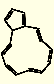 [C]1=C/C=C\C=C\C=C/C=C/C2C=CC=C/12